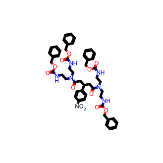 O=C(NCCN(CCNC(=O)OCc1ccccc1)C(=O)CC(CC(=O)N(CCNC(=O)OCc1ccccc1)CCNC(=O)OCc1ccccc1)c1ccc([N+](=O)[O-])cc1)OCc1ccccc1